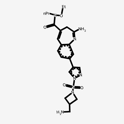 CCCN(OCC)C(=O)C1=Cc2ccc(-c3cnn(S(=O)(=O)N4CC(CN)C4)c3)cc2N=C(N)C1